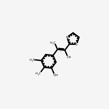 C/C(=C(/C#N)c1nccs1)c1cc(N)c(C)c(O)c1